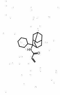 C=CC(=O)NC1(C2CCCCC2)C2CC3CC(C2)CC1C3